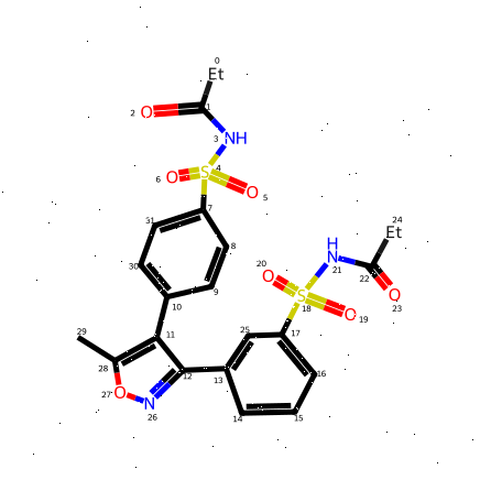 CCC(=O)NS(=O)(=O)c1ccc(-c2c(-c3cccc(S(=O)(=O)NC(=O)CC)c3)noc2C)cc1